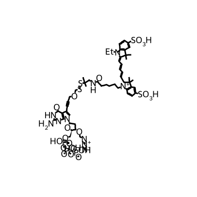 CCN1/C(=C/C=C/C=C/C2=[N+](CCCCCC(=O)NCC(C)(C)SSCOCC#Cc3cn([C@H]4CC(OCN=[N+]=[N-])[C@@H](COP(=O)(O)OP(=O)(O)OP(=O)(O)O)O4)c4nc(N)[nH]c(=O)c34)c3ccc(S(=O)(=O)O)cc3C2(C)C)C(C)(C)c2cc(S(=O)(=O)O)ccc21